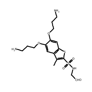 Cc1c(S(=O)(=O)NCC=O)sc2cc(OCCCN)c(OCCCN)cc12